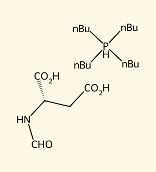 CCCC[PH](CCCC)(CCCC)CCCC.O=CN[C@@H](CC(=O)O)C(=O)O